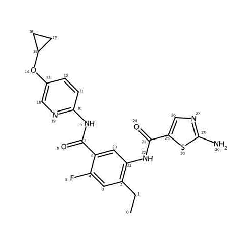 CCc1cc(F)c(C(=O)Nc2ccc(OC3CC3)cn2)cc1NC(=O)c1cnc(N)s1